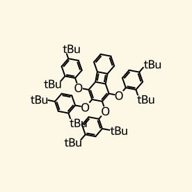 CC(C)(C)c1ccc(Oc2c(Oc3ccc(C(C)(C)C)cc3C(C)(C)C)c(Oc3ccc(C(C)(C)C)cc3C(C)(C)C)c3c(c2Oc2ccc(C(C)(C)C)cc2C(C)(C)C)=c2ccccc2=3)c(C(C)(C)C)c1